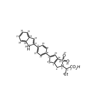 CCC(C(=O)O)N1Cc2sc(-c3ccc(-c4cc5ccccc5[nH]4)cc3)cc2S1(=O)=O